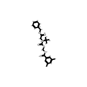 Cc1cc(C)cc(C(=O)OCOC(=O)N(CC(=O)OCc2ccccc2)C(C)(C)C)c1